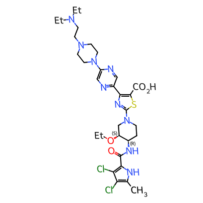 CCO[C@H]1CN(c2nc(-c3cnc(N4CCN(CCN(CC)CC)CC4)cn3)c(C(=O)O)s2)CC[C@H]1NC(=O)c1[nH]c(C)c(Cl)c1Cl